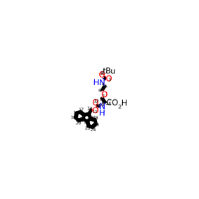 CC(C)(C)OC(=O)NCCOC[C@H](NC(=O)OCC1c2ccccc2-c2ccccc21)C(=O)O